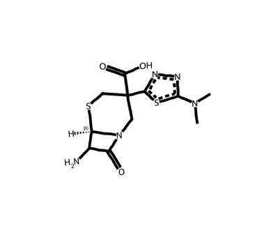 CN(C)c1nnc(C2(C(=O)O)CS[C@@H]3C(N)C(=O)N3C2)s1